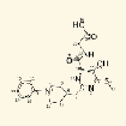 CSc1nc(CC2CCN(c3ccccc3)CC2)nc(C(=O)NCC(=O)O)c1O